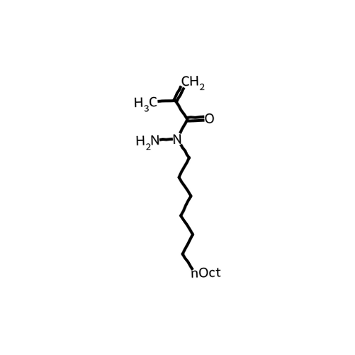 C=C(C)C(=O)N(N)CCCCCCCCCCCCCC